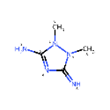 Cn1c(N)nc(=N)n1C